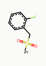 CC(C)S(=O)(=O)Cc1ccccc1F